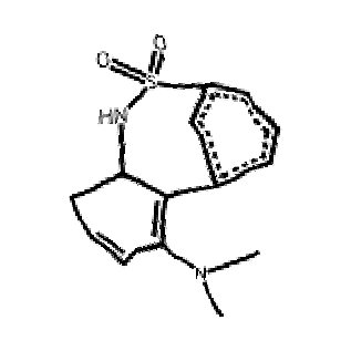 CN(C)C1=C2c3cccc(c3)S(=O)(=O)NC2CC=C1